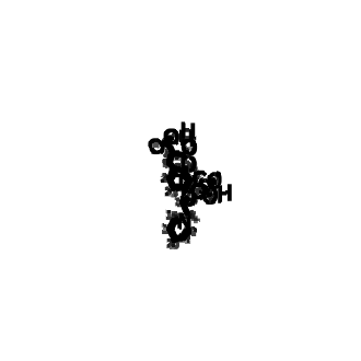 CS(=O)(=O)O.O=C(O)C(Cc1ccc(OCC[n+]2ccccc2)cc1)C(=O)O